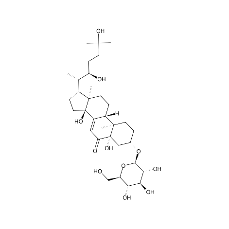 C[C@H]([C@H](O)CCC(C)(C)O)[C@H]1CC[C@@]2(O)C3=CC(=O)[C@]4(O)C[C@@H](O[C@@H]5O[C@H](CO)[C@@H](O)[C@H](O)[C@H]5O)CC[C@]4(C)[C@H]3CC[C@]12C